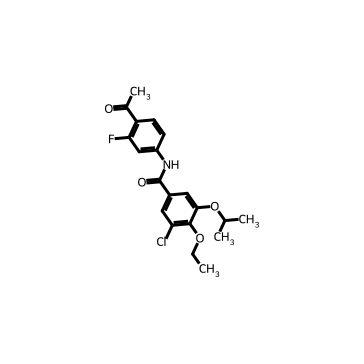 CCOc1c(Cl)cc(C(=O)Nc2ccc(C(C)=O)c(F)c2)cc1OC(C)C